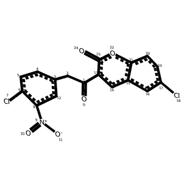 O=C(Cc1ccc(Cl)c([N+](=O)[O-])c1)c1cc2cc(Cl)ccc2oc1=O